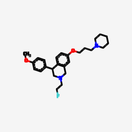 COc1ccc(C2CN(CCF)Cc3cc(OCCCN4CCCCC4)ccc32)cc1